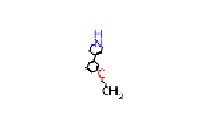 C=CCOc1cccc(C2=CCNCC2)c1